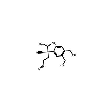 CC(C)C(C#N)(CCC=O)c1ccc(CO)c(CO)c1